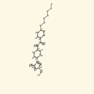 CCCCCCCc1ccc(C(=O)Nc2ccc(-n3nc(OC)oc3=O)cc2)cc1